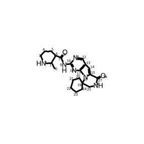 CC1NCCCC1C(=O)Nc1ncc2cc3n(c2n1)C1(CCCCC1)CNC3=O